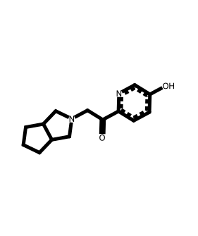 O=C(CN1CC2CCCC2C1)c1ccc(O)cn1